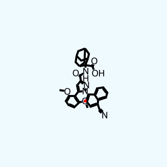 COc1cccc(OC)c1-c1cc(C(=O)NC2(C(=O)O)C3CC4CC(C3)CC2C4)nn1-c1ccc(C#N)c2ccccc12